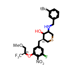 COC[C@@H](Oc1cc(C[C@@H]2CSCC(NCc3cccc(C(C)(C)C)c3)C2O)cc(F)c1[N+](=O)[O-])C(F)(F)F